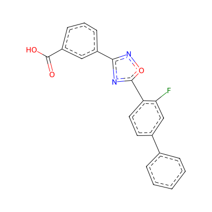 O=C(O)c1cccc(-c2noc(-c3ccc(-c4ccccc4)cc3F)n2)c1